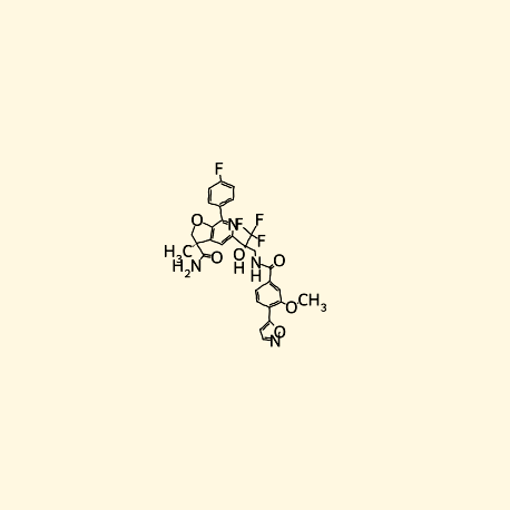 COc1cc(C(=O)NC[C@](O)(c2cc3c(c(-c4ccc(F)cc4)n2)OC[C@]3(C)C(N)=O)C(F)(F)F)ccc1-c1ccno1